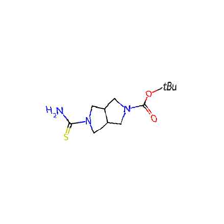 CC(C)(C)OC(=O)N1CC2CN(C(N)=S)CC2C1